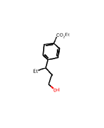 CCOC(=O)c1ccc(C(CC)CCO)cc1